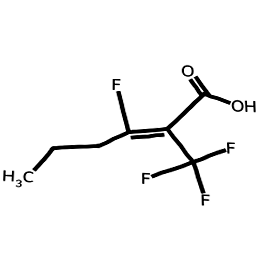 CCCC(F)=C(C(=O)O)C(F)(F)F